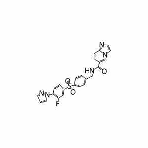 O=C(NCc1ccc(S(=O)(=O)c2ccc(-n3cccn3)c(F)c2)cc1)c1ccc2nccn2c1